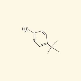 Bc1ccc(C(C)(C)C)cn1